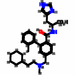 Cc1ccccc1-c1cc(CN(C)CCC2CCCCC2)ccc1C(=O)N[C@@H](Cc1c[nH]cn1)C(=O)O